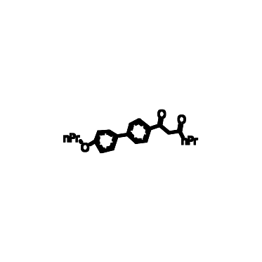 CCCOc1ccc(-c2ccc(C(=O)CC(=O)CCC)cc2)cc1